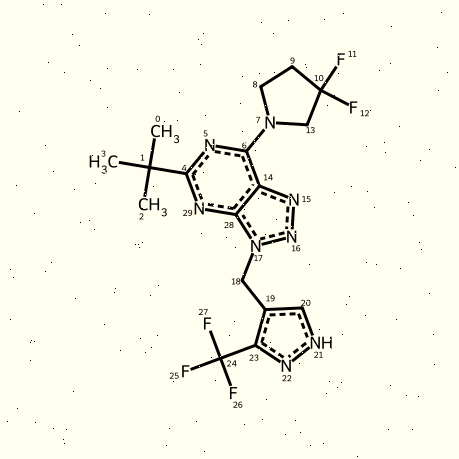 CC(C)(C)c1nc(N2CCC(F)(F)C2)c2nnn(Cc3c[nH]nc3C(F)(F)F)c2n1